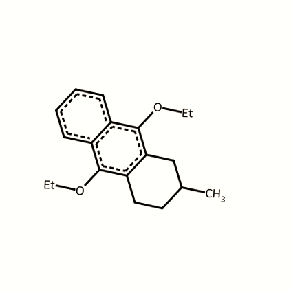 CCOc1c2c(c(OCC)c3ccccc13)CC(C)CC2